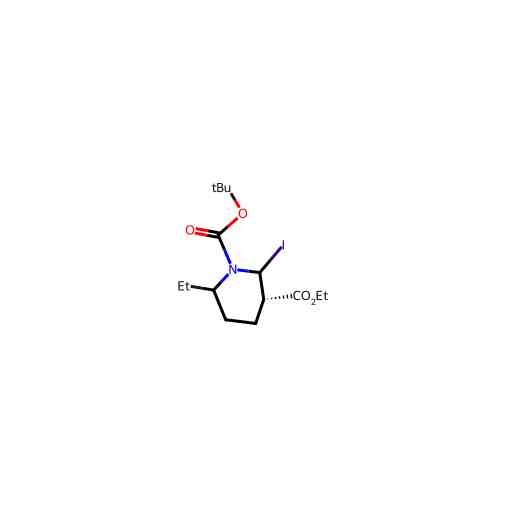 CCOC(=O)[C@@H]1CCC(CC)N(C(=O)OC(C)(C)C)C1I